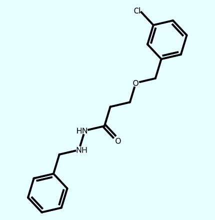 O=C(CCOCc1cccc(Cl)c1)NNCc1ccccc1